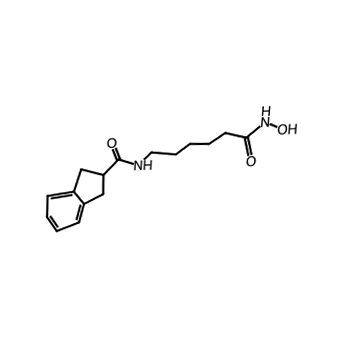 O=C(CCCCCNC(=O)C1Cc2ccccc2C1)NO